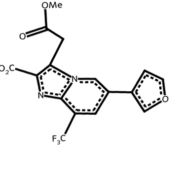 COC(=O)Cc1c(C(=O)O)nc2c(C(F)(F)F)cc(-c3ccoc3)cn12